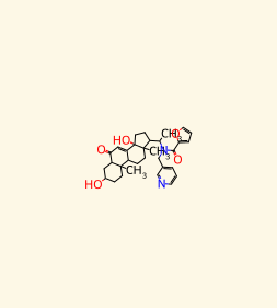 CC(C1CC[C@@]2(O)C3=CC(=O)C4CC(O)CCC4(C)C3CCC12C)N(Cc1cccnc1)C(=O)c1ccco1